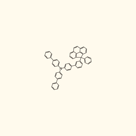 c1ccc(-c2ccc(N(c3ccc(-c4ccccc4)cc3)c3ccc(-c4cccc(C5(c6ccccc6)c6cccc7ccc8cccc5c8c67)c4)cc3)cc2)cc1